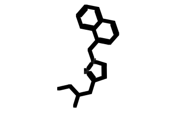 CCC(C)Cc1ccn(Cc2cccc3ccccc23)n1